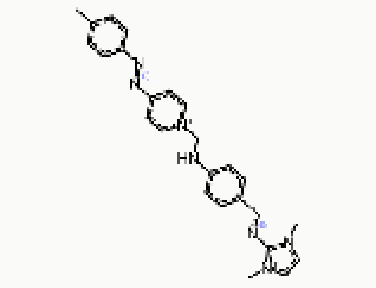 Cc1ccc(/N=N/c2cc[n+](CNc3ccc(/N=N/c4n(C)cc[n+]4C)cc3)cc2)cc1